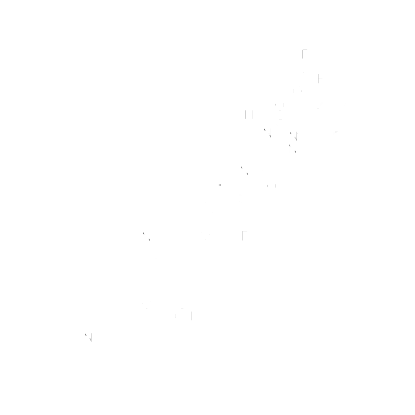 CCn1c(C(=O)Nc2ccc(Oc3ccnc4cc(OCCCN5CCCC5)c(OC)cc34)c(F)c2)nn(-c2ccccc2OC(F)(F)F)c1=O